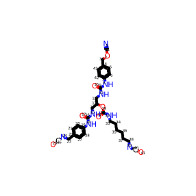 N#COCc1ccc(NC(=O)NCC(CNC(=O)Nc2ccc(CN=C=O)cc2)OC(=O)NCCCCCCN=C=O)cc1